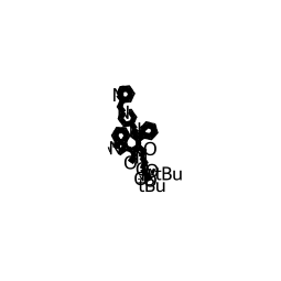 Cn1cc(C2=C(c3cn(C4CCN(Cc5ccccn5)CC4)c4ccccc34)C(=O)N(COP(=O)(OC(C)(C)C)OC(C)(C)C)C2=O)c2ccccc21